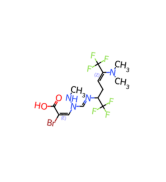 CNN(C=NC(C/C=C(\N(C)C)C(F)(F)F)C(F)(F)F)/C=C(/Br)C(=O)O